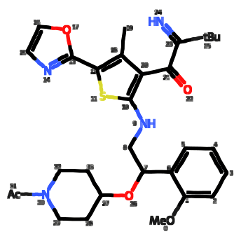 COc1ccccc1C(CNc1sc(-c2ncco2)c(C)c1C(=O)C(=N)C(C)(C)C)OC1CCN(C(C)=O)CC1